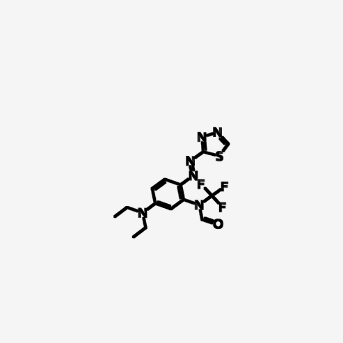 CCN(CC)c1ccc(N=Nc2nncs2)c(N(C=O)C(F)(F)F)c1